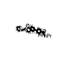 CCCNC(=O)c1ccc(-c2ccc3c(c2)CCN(CCN2CCCC2)C3=O)cc1